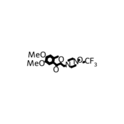 COc1cc2c(cc1OC)C(=O)C(CN1CCN(OCC(F)(F)F)CC1)OC2